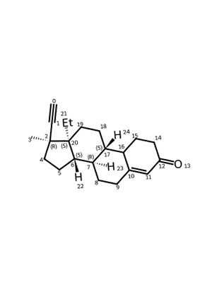 C#C[C@]1(C)CC[C@H]2[C@@H]3CCC4=CC(=O)CCC4[C@H]3CC[C@@]21CC